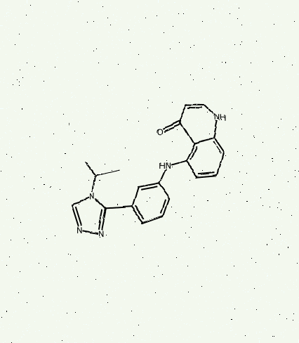 CC(C)n1cnnc1-c1cccc(Nc2cccc3[nH]ccc(=O)c23)c1